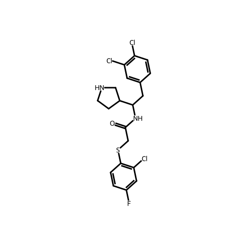 O=C(CSc1ccc(F)cc1Cl)NC(Cc1ccc(Cl)c(Cl)c1)C1CCNC1